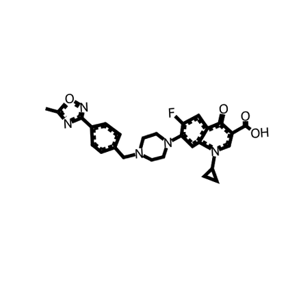 Cc1nc(-c2ccc(CN3CCN(c4cc5c(cc4F)c(=O)c(C(=O)O)cn5C4CC4)CC3)cc2)no1